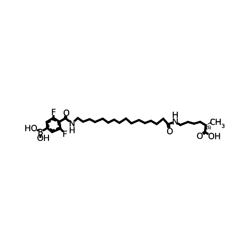 C[C@@H](CCCCNC(=O)CCCCCCCCCCCCCCCNC(=O)c1c(F)cc(B(O)O)cc1F)C(=O)O